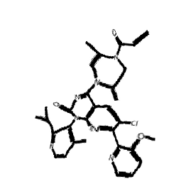 C=CC(=O)N1CC(C)N(c2nc(=O)n(-c3c(C)ccnc3C(C)C)c3nc(-c4ncccc4OC)c(Cl)cc23)CC1C